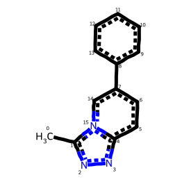 Cc1nnc2ccc(-c3ccccc3)cn12